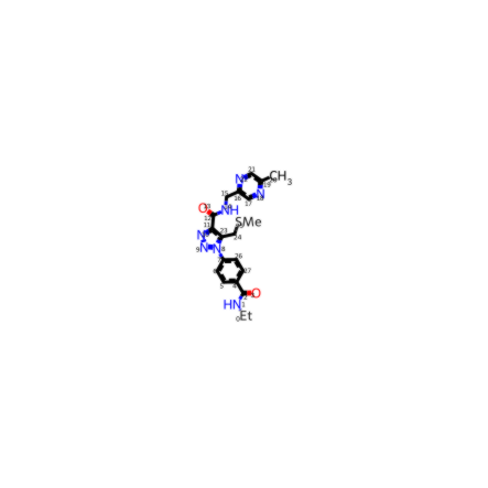 CCNC(=O)c1ccc(-n2nnc(C(=O)NCc3cnc(C)cn3)c2CSC)cc1